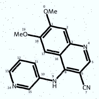 COc1cc2ncc(C#N)c(Nc3cccnc3)c2cc1OC